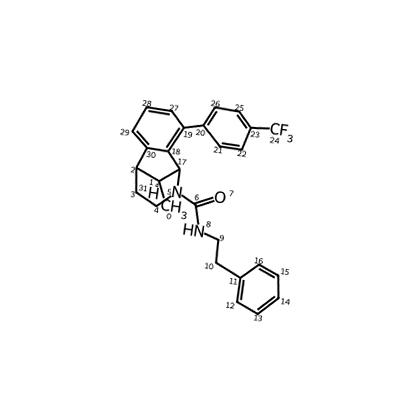 C[C@H]1C2CCN(C(=O)NCCc3ccccc3)C1c1c(-c3ccc(C(F)(F)F)cc3)cccc12